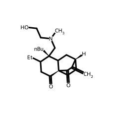 C=C1C(=O)[C@]23CC[C@H]1CC2[C@@](CCCC)(CN(C)CCO)C(CC)CC3=O